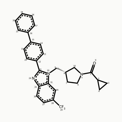 O=C(C1CC1)N1CC[C@H](Cn2c(-c3ccc(-c4ccccc4)cc3)nc3ccc(C(F)(F)F)cc32)C1